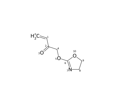 C=CC(=O)COC1=NCCO1